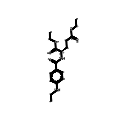 CCNc1ccc(C(=O)N[C@H](CCC(=O)OCC)C(=O)OCC)cc1